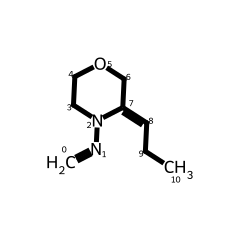 C=NN1CCOC/C1=C/CC